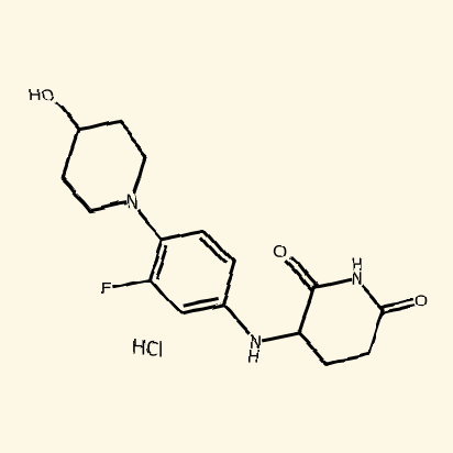 Cl.O=C1CCC(Nc2ccc(N3CCC(O)CC3)c(F)c2)C(=O)N1